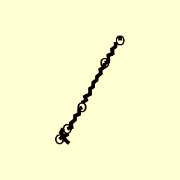 CCC1(COCCCCCCOCCCCCCCCCCCCOCCCCCCOC)OC1C